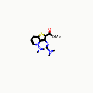 COC(=O)C1SC2=CC=CN(N(C)C)C2=C1N=CN(C)C